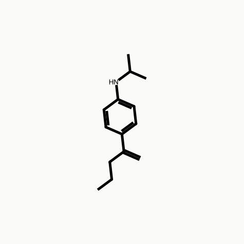 C=C(CCC)c1ccc(NC(C)C)cc1